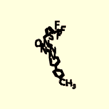 Cc1ccc(C2=CCN(c3ncn(Cc4ccc(C(F)(F)F)s4)c(=O)n3)CC2)cc1